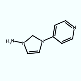 NN1C=CN(c2ccncc2)C1